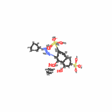 O=S(=O)([O-])c1cc(O)c2c(O)c(N=Nc3ccccc3)c(S(=O)(=O)[O-])cc2c1.[Na+].[Na+]